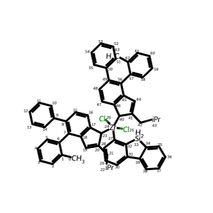 Cc1ccccc1-c1c(-c2ccccc2)ccc2c1C=C(CC(C)C)[CH]2[Zr]([Cl])([Cl])([c]1cccc2c1[SiH2]c1ccccc1-2)[CH]1C(CC(C)C)=Cc2c1ccc(-c1ccccc1)c2-c1ccccc1C